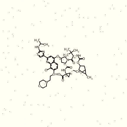 CC[C@@H]1C[C@]1(NC(=O)[C@@H]1C[C@@H](Oc2cc(-c3csc(NC(C)C)n3)nc3c(Cl)c(OCCN4CCOCC4)ccc23)CN1C(=O)[C@@H](NC(=O)OC1CC2C(C)C2C1)C(C)(C)C)C(=O)O